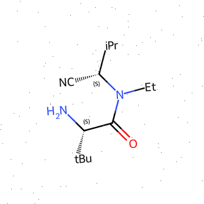 CCN(C(=O)[C@@H](N)C(C)(C)C)[C@H](C#N)C(C)C